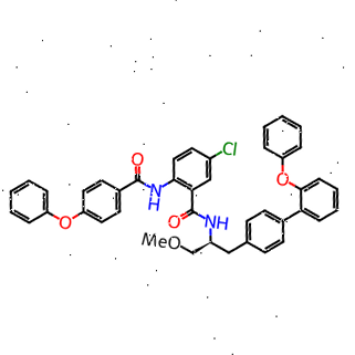 COC[C@H](Cc1ccc(-c2ccccc2Oc2ccccc2)cc1)NC(=O)c1cc(Cl)ccc1NC(=O)c1ccc(Oc2ccccc2)cc1